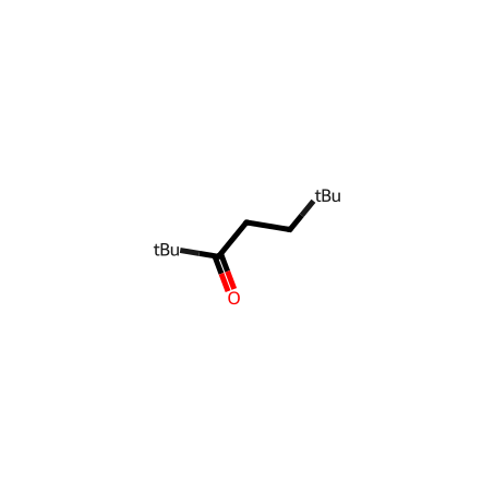 CC(C)(C)CCC(=O)C(C)(C)C